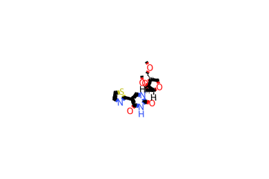 COC[C@@]12CO[C@@H]([C@H](n3cc(-c4nccs4)c(=O)[nH]c3=O)O1)[C@@H]2OC